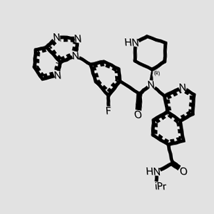 CC(C)NC(=O)c1ccc2c(N(C(=O)c3ccc(-n4nnc5cccnc54)cc3F)[C@@H]3CCCNC3)nccc2c1